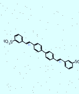 O=S(=O)(O)c1cccc(/C=C/c2ccc(-c3ccc(/C=C/c4cccc(S(=O)(=O)O)c4)cc3)cc2)c1